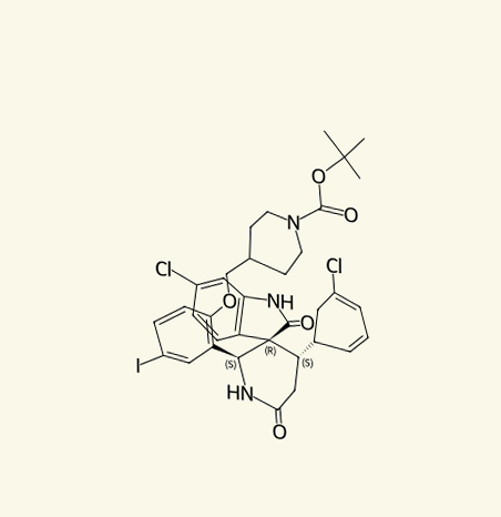 CC(C)(C)OC(=O)N1CCC(COc2ccc(I)cc2[C@@H]2NC(=O)C[C@@H](C3C=CC=C(Cl)C3)[C@]23C(=O)Nc2cc(Cl)ccc23)CC1